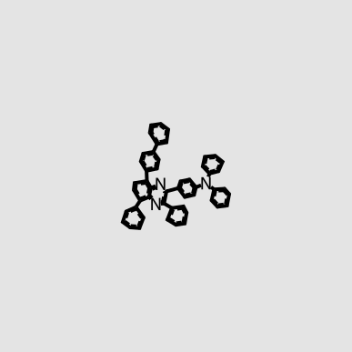 c1ccc(-c2ccc(-c3ccc(-c4ccccc4)c4nc(-c5ccccc5)c(-c5ccc(N(c6ccccc6)c6ccccc6)cc5)nc34)cc2)cc1